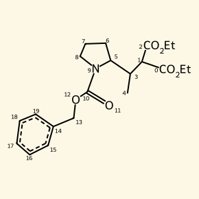 CCOC(=O)C(C(=O)OCC)C(C)C1CCCN1C(=O)OCc1ccccc1